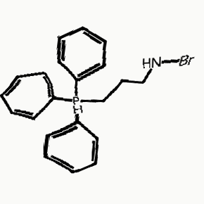 BrNCCC[PH](c1ccccc1)(c1ccccc1)c1ccccc1